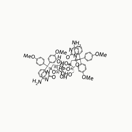 COc1ccc(C(c2ccccc2)(c2ccc(OC)cc2)[C@]2(n3ccc(N)nc3=O)C[C@@](O)(O[PH](=O)O[C@]3(O)C[C@@](n4ccc(N)nc4=O)(C(c4ccccc4)(c4ccc(OC)cc4)c4ccc(OC)cc4)O[C@@H]3CO)[C@@H](CO)O2)cc1